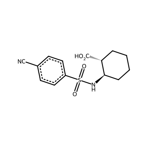 N#Cc1ccc(S(=O)(=O)N[C@@H]2CCCC[C@H]2C(=O)O)cc1